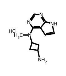 CN(c1ncnc2[nH]ccc12)C1CC(N)C1.Cl